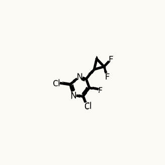 Fc1c(Cl)nc(Cl)nc1C1CC1(F)F